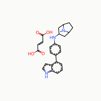 CN1C2CCC1CC(Nc1ccc(-c3cccc4[nH]ccc34)cc1)C2.O=C(O)/C=C/C(=O)O